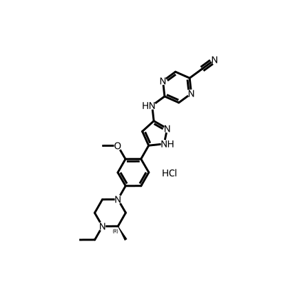 CCN1CCN(c2ccc(-c3cc(Nc4cnc(C#N)cn4)n[nH]3)c(OC)c2)C[C@H]1C.Cl